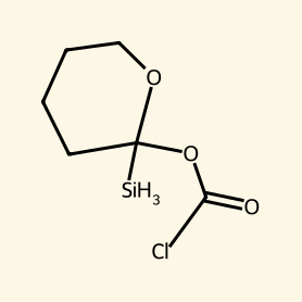 O=C(Cl)OC1([SiH3])CCCCO1